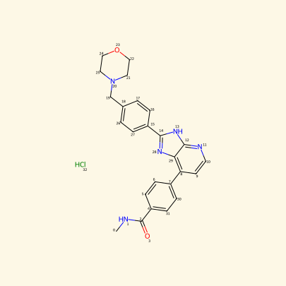 CNC(=O)c1ccc(-c2ccnc3[nH]c(-c4ccc(CN5CCOCC5)cc4)nc23)cc1.Cl